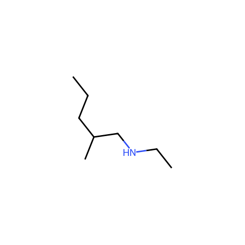 CCCC(C)CNCC